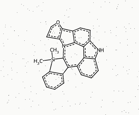 C[Si]1(C)c2ccccc2-c2c1n1c3ccoc3c3ccc4[nH]c5cccc2c5c4c31